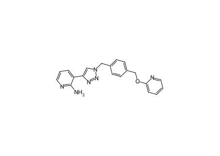 Nc1ncccc1-c1cn(Cc2ccc(COc3ccccn3)cc2)nn1